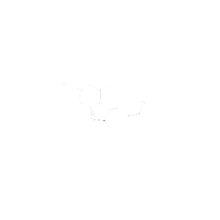 CSN1C=C(C)n2c(nc(=O)n2SCC(N)C(=O)O)N1.O